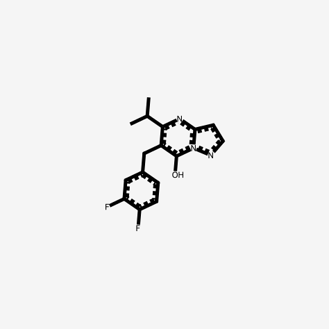 CC(C)c1nc2ccnn2c(O)c1Cc1ccc(F)c(F)c1